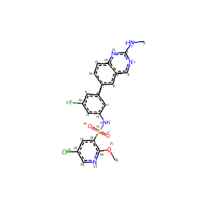 CNc1ncc2cc(-c3cc(F)cc(NS(=O)(=O)c4cc(Cl)cnc4OC)c3)ccc2n1